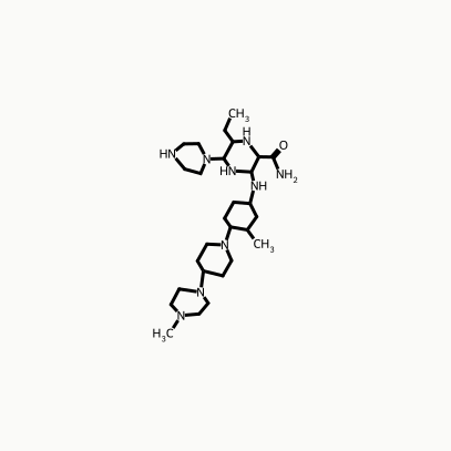 CCC1NC(C(N)=O)C(NC2CCC(N3CCC(N4CCN(C)CC4)CC3)C(C)C2)NC1N1CCNCC1